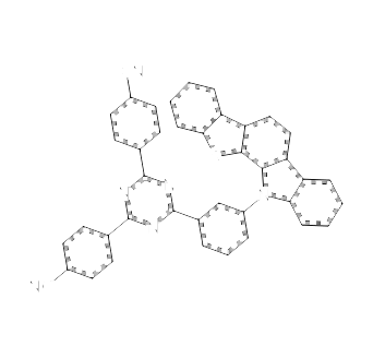 N#Cc1ccc(-c2nc(-c3ccc(C#N)cc3)nc(-c3cccc(-n4c5ccccc5c5ccc6c7ccccc7sc6c54)c3)n2)cc1